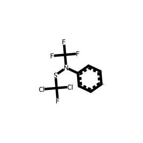 FC(Cl)(Cl)SN(c1cc[c]cc1)C(F)(F)F